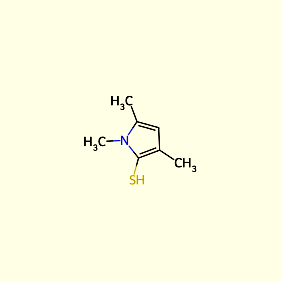 Cc1cc(C)n(C)c1S